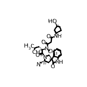 CC(C)C[C@@H](C(=O)N1C[C@]2(C[C@H]1C#N)C(=O)Nc1ccccc12)N(C)C(=O)CC(=O)N[C@@H]1CC[C@H](O)C1